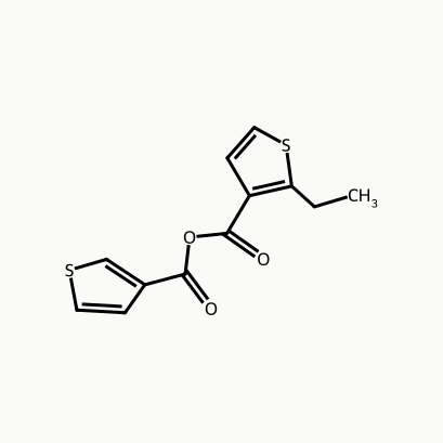 CCc1sccc1C(=O)OC(=O)c1ccsc1